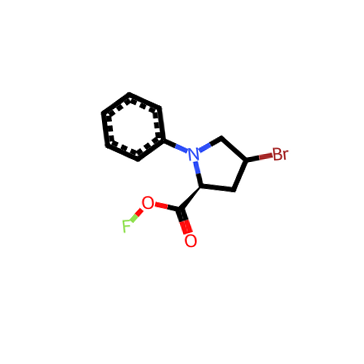 O=C(OF)[C@@H]1CC(Br)CN1c1ccccc1